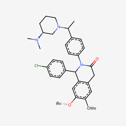 CC[C@@H](C)Oc1cc2c(cc1OC)CC(=O)N(c1ccc(C(C)N3CCC[C@H](N(C)C)C3)cc1)C2c1ccc(Cl)cc1